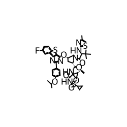 C=C[C@@H]1C[C@]1(NC(=O)[C@@H]1C[C@@H](Oc2nc(-c3ccc(OC(C)C)cc3)nc3c2sc2ccc(F)cc23)CN1C(=O)[C@@H](Nc1nc(C)cs1)C(C)(C)C)C(=O)NS(=O)(=O)C1CC1